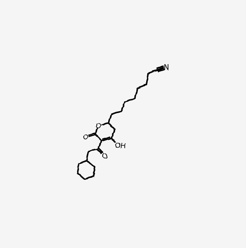 N#CCCCCCCCC1CC(O)=C(C(=O)CC2CCCCC2)C(=O)O1